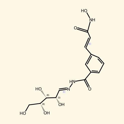 O=C(/C=C/c1cccc(C(=O)N/N=C/[C@H](O)[C@@H](O)[C@H](O)CO)c1)NO